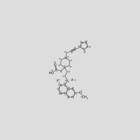 COc1ccc2ncc(F)c([C@@H](F)CCC3(CC(=O)O)CCN(CC#Cc4cccs4)CC3)c2c1